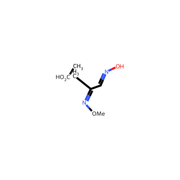 CC(=O)O.CON=C(C)C=NO